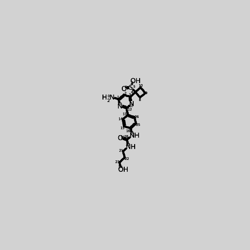 Nc1cc(C2(S(=O)O)CCC2)nc(-c2ccc(NC(=O)NCCCO)cc2)n1